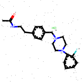 CC(=O)NCCc1ccc(CN2CCN(c3ccccc3F)CC2)cc1.Cl